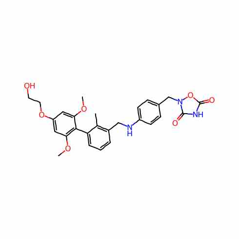 COc1cc(OCCO)cc(OC)c1-c1cccc(CNc2ccc(Cn3oc(=O)[nH]c3=O)cc2)c1C